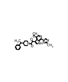 COc1cnc(-n2cnc(C)n2)c2[nH]cc(C(=O)C(=O)N3CCC(C(C)c4ccccc4)CC3)c12